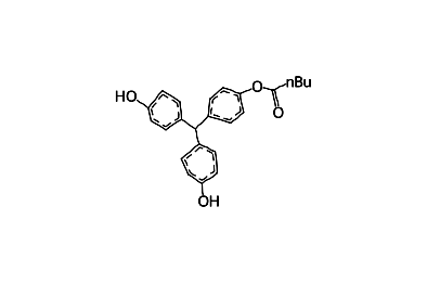 CCCCC(=O)Oc1ccc(C(c2ccc(O)cc2)c2ccc(O)cc2)cc1